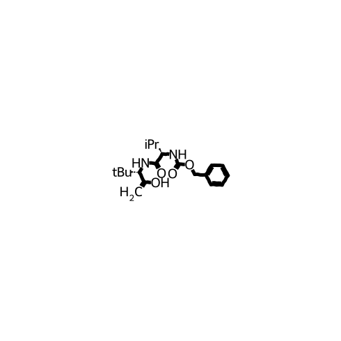 C=C(O)[C@@H](NC(=O)[C@@H](NC(=O)OCc1ccccc1)C(C)C)C(C)(C)C